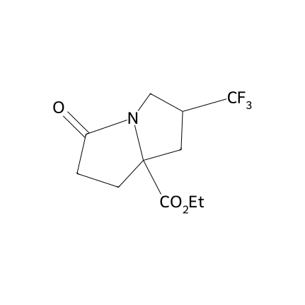 CCOC(=O)C12CCC(=O)N1CC(C(F)(F)F)C2